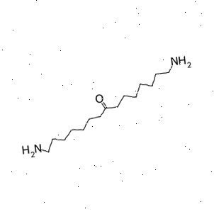 NCCCCCCCC(=O)CCCCCCCN